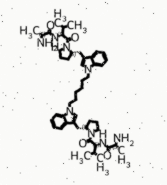 CC(C)[C@H](NC(=O)[C@H](C)N)C(=O)N1CCC[C@H]1Cc1cn(CCCCCCn2cc(C[C@@H]3CCCN3C(=O)[C@@H](NC(=O)[C@H](C)N)C(C)C)c3ccccc32)c2ccccc12